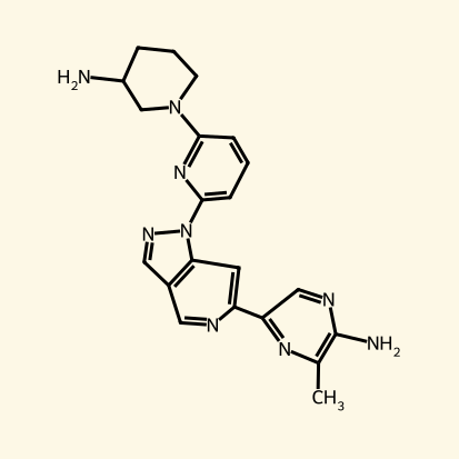 Cc1nc(-c2cc3c(cn2)cnn3-c2cccc(N3CCCC(N)C3)n2)cnc1N